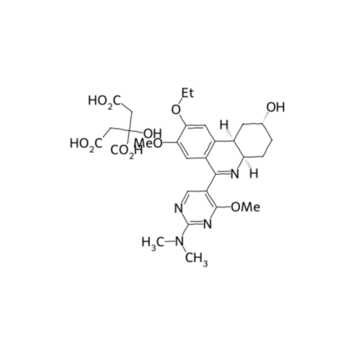 CCOc1cc2c(cc1OC)C(c1cnc(N(C)C)nc1OC)=N[C@@H]1CC[C@@H](O)C[C@H]21.O=C(O)CC(O)(CC(=O)O)C(=O)O